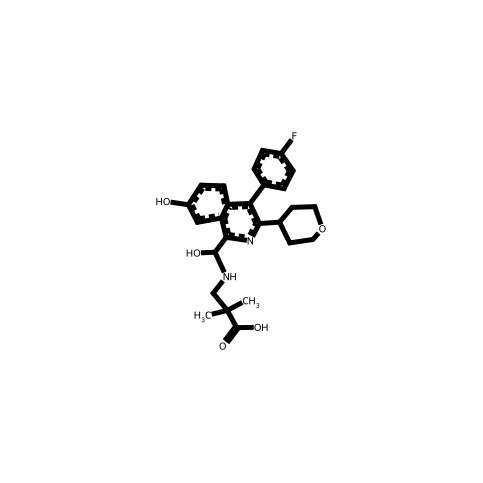 CC(C)(CNC(O)c1nc(C2CCOCC2)c(-c2ccc(F)cc2)c2ccc(O)cc12)C(=O)O